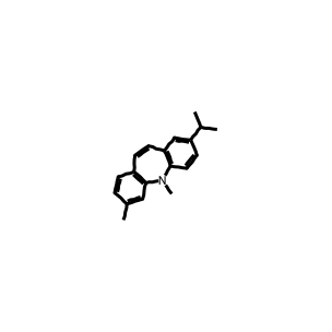 Cc1ccc2c(c1)N(C)c1ccc(C(C)C)cc1C=C2